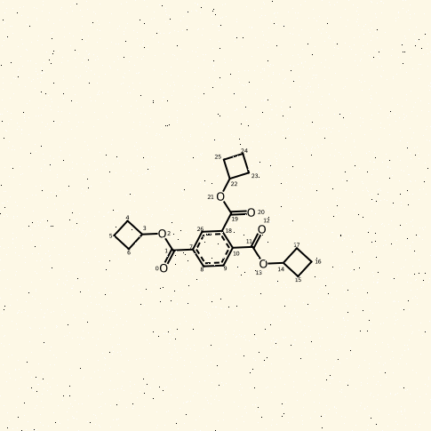 O=C(OC1CCC1)c1ccc(C(=O)OC2CCC2)c(C(=O)OC2CCC2)c1